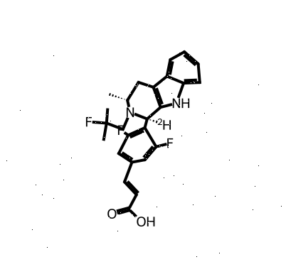 [2H][C@@]1(c2c(F)cc(/C=C/C(=O)O)cc2F)c2[nH]c3ccccc3c2C[C@@H](C)N1CC(C)(C)F